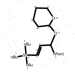 CCCCCC(/C=[CH]/[Sn]([CH2]CCC)([CH2]CCC)[CH2]CCC)OC1CCCCO1